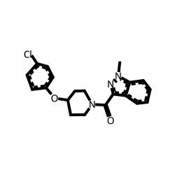 Cn1nc(C(=O)N2CCC(Oc3ccc(Cl)cc3)CC2)c2ccccc21